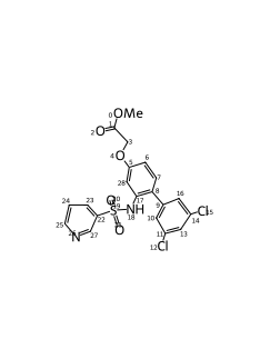 COC(=O)COc1ccc(-c2cc(Cl)cc(Cl)c2)c(NS(=O)(=O)c2cccnc2)c1